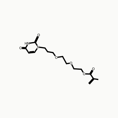 C=C(C)C(=O)OCCOCCOCCCn1ccc(=O)[nH]c1=O